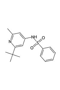 Cc1cc(NS(=O)(=O)c2ccccc2)cc(C(C)(C)C)n1